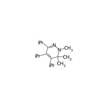 CC(C)C1=NN(C)C(C)(C)C(C(C)C)=C1C(C)C